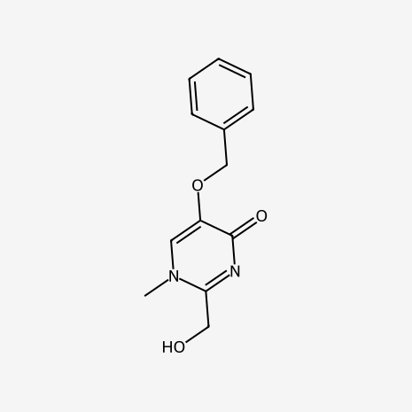 Cn1cc(OCc2ccccc2)c(=O)nc1CO